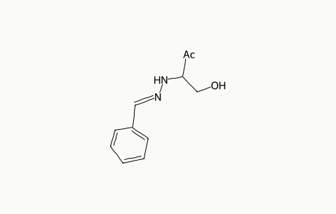 CC(=O)C(CO)NN=Cc1ccccc1